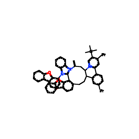 C=C1CC2C(CCc3ccc4c(oc5ccccc54)c3-c3n(-c4cccc5c4oc4ccccc45)c4ccccc4[n+]31)c1cc(C(C)C)ccc1-c1cc(C(C)C)c([Si](C)(C)C)c[n+]12